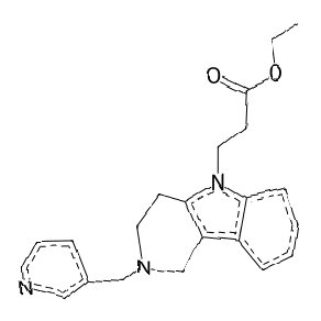 CCOC(=O)CCn1c2c(c3ccccc31)CN(Cc1cccnc1)CC2